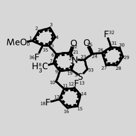 COc1cccc(-c2c(C)c(Cc3c(F)cccc3F)c3n(c2=O)C(C(=O)c2ccccc2F)CS3)c1F